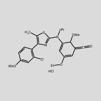 CCCN(C1=CC(OCC)=CC(=C=O)C1OC)c1nc(-c2ccc(OC)cc2Cl)c(C)s1.Cl